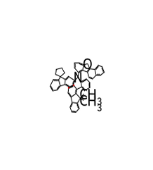 CC1(C)c2ccccc2-c2cccc(-c3ccccc3N(c3ccc4c(c3)C3(CCCC3)c3ccccc3-4)c3cccc4oc5c6ccccc6ccc5c34)c21